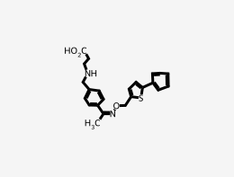 CC(=NOCc1ccc(-c2ccccc2)s1)c1ccc(CNCCC(=O)O)cc1